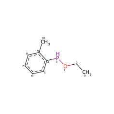 CCOPc1ccccc1C